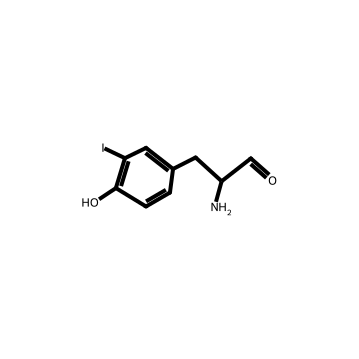 NC(C=O)Cc1ccc(O)c(I)c1